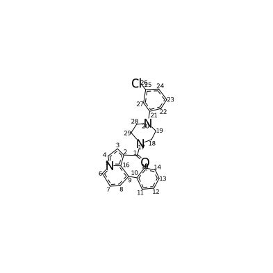 O=C(c1ccn2cccc(-c3ccccc3)c12)N1CCN(c2cccc(Cl)c2)CC1